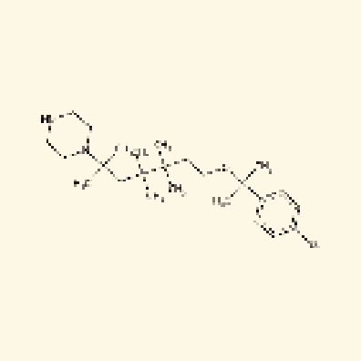 CCc1ccc(C(C)(C)OCCC(C)(C)C(C)(C)CC(C)(C)N2CCNCC2)cc1